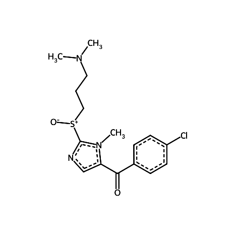 CN(C)CCC[S+]([O-])c1ncc(C(=O)c2ccc(Cl)cc2)n1C